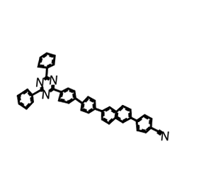 N#Cc1ccc(-c2ccc3cc(-c4ccc(-c5ccc(-c6nc(-c7ccccc7)nc(-c7ccccc7)n6)cc5)cc4)ccc3c2)cc1